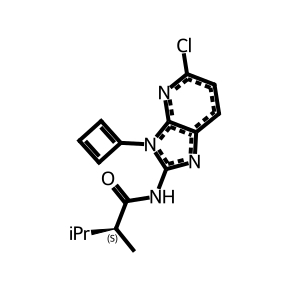 CC(C)[C@H](C)C(=O)Nc1nc2ccc(Cl)nc2n1C1=CC=C1